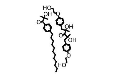 CC(O)(Cc1ccc(OCCO)cc1)C(=O)C(C)(O)Cc1ccc(OCCO)cc1.CCCCCCCCCCCCc1ccc(C(=O)C(C)(C)O)cc1